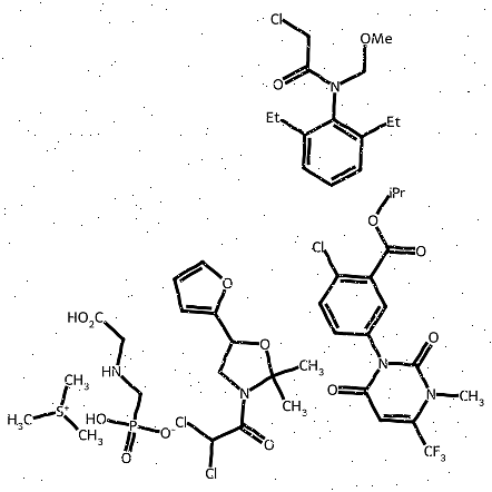 CC(C)OC(=O)c1cc(-n2c(=O)cc(C(F)(F)F)n(C)c2=O)ccc1Cl.CC1(C)OC(c2ccco2)CN1C(=O)C(Cl)Cl.CCc1cccc(CC)c1N(COC)C(=O)CCl.C[S+](C)C.O=C(O)CNCP(=O)([O-])O